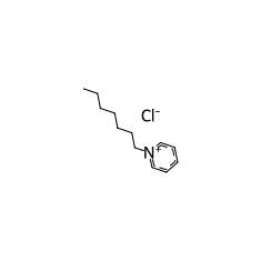 CCCCCCC[n+]1ccccc1.[Cl-]